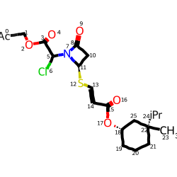 CC(=O)COC(=O)C(Cl)N1C(=O)C[C@H]1SC=CC(=O)O[C@H]1CCC[C@@](C)(C(C)C)C1